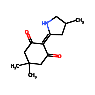 CC1CNC(=C2C(=O)CC(C)(C)CC2=O)C1